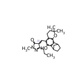 CCCC1=NN(C)C(=O)/C1=C/c1c(O)c2c(c3c1CCC(C)(C)O3)C1CCC2C1